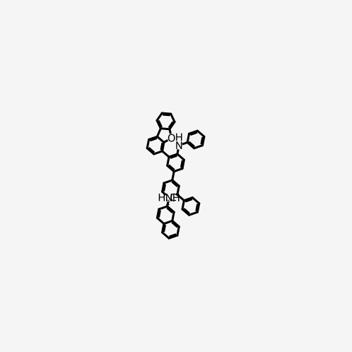 C=C(/C=C(\C=C/Nc1ccc2ccccc2c1)c1ccc(Nc2ccccc2)c(-c2cccc3c2oc2ccccc23)c1)c1ccccc1